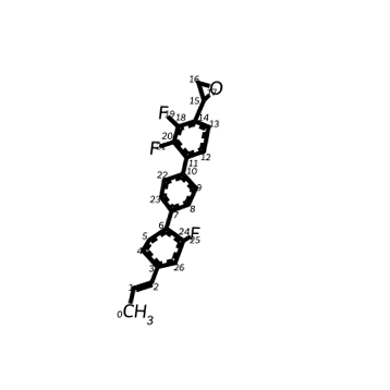 C/C=C/c1ccc(-c2ccc(-c3ccc(C4CO4)c(F)c3F)cc2)c(F)c1